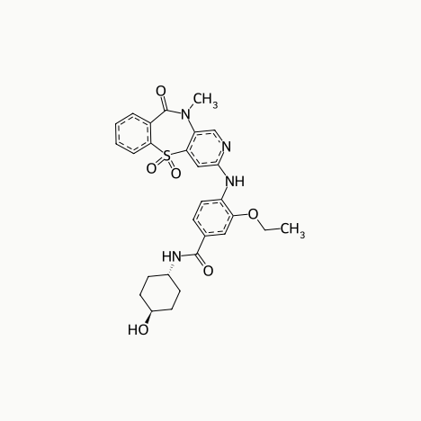 CCOc1cc(C(=O)N[C@H]2CC[C@H](O)CC2)ccc1Nc1cc2c(cn1)N(C)C(=O)c1ccccc1S2(=O)=O